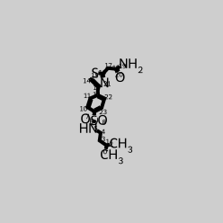 CC(C)CCNS(=O)(=O)c1ccc(-c2csc(CC(N)=O)n2)cc1